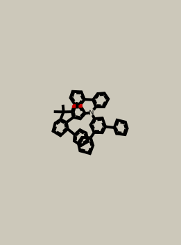 CC1(C)c2ccc(N(c3cc(-c4ccccc4)cc(-c4ccccc4)c3)c3ccccc3-c3ccccc3)cc2-c2c(-c3ccccc3)cccc21